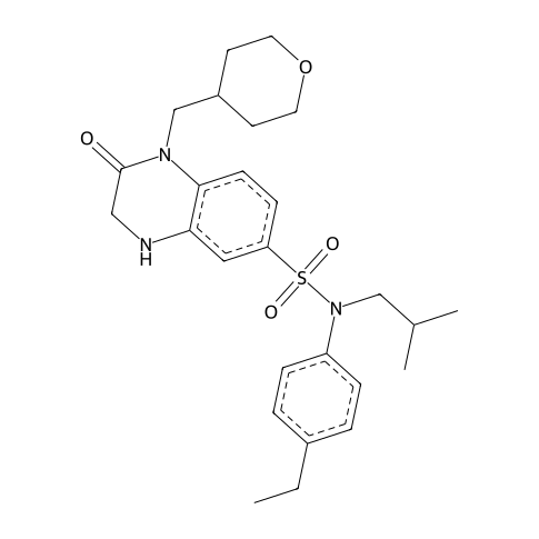 CCc1ccc(N(CC(C)C)S(=O)(=O)c2ccc3c(c2)NCC(=O)N3CC2CCOCC2)cc1